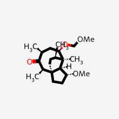 COCO[C@@H]1C[C@H](C)C(=O)[C@H](C)[C@@]23CC[C@@H](C)[C@]1(C)[C@H]2[C@H](OC)CC3